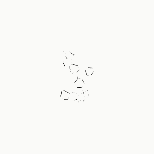 O=C(O)N(Cc1ccccc1)C1(c2ccc(-c3nc4ccc5nnc(O)n5c4cc3-c3ccccc3)cc2)CCC1Cl